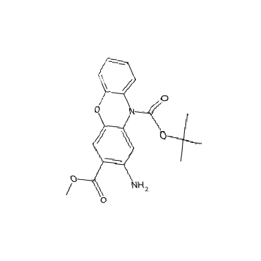 COC(=O)c1cc2c(cc1N)N(C(=O)OC(C)(C)C)c1ccccc1O2